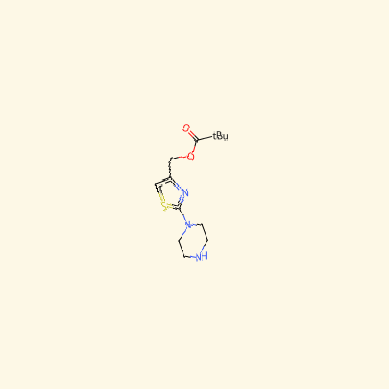 CC(C)(C)C(=O)OCc1csc(N2CCNCC2)n1